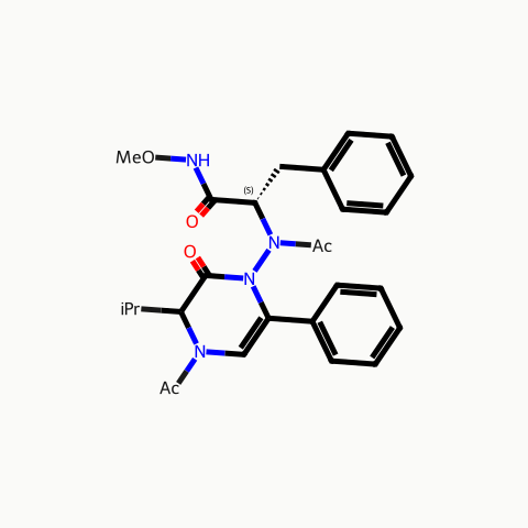 CONC(=O)[C@H](Cc1ccccc1)N(C(C)=O)N1C(=O)C(C(C)C)N(C(C)=O)C=C1c1ccccc1